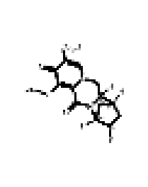 CCCCOc1c2n(cc(C(=O)OCC)c1=O)C[C@@H]1[C@@H]3C[C@@H](F)[C@@H](C3)N1C2=O